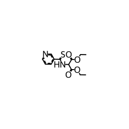 CCOC(=O)C(NC(=S)c1cccnc1)C(=O)OCC